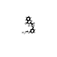 CCOc1cc(CNC(=O)c2nc3ccccc3c(=O)[nH]2)ccn1